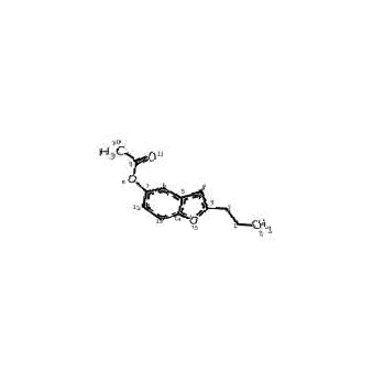 CCCc1cc2cc(OC(C)=O)ccc2o1